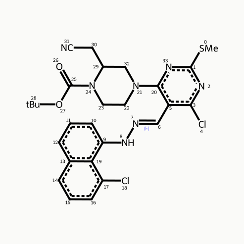 CSc1nc(Cl)c(/C=N/Nc2cccc3cccc(Cl)c23)c(N2CCN(C(=O)OC(C)(C)C)C(CC#N)C2)n1